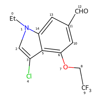 CCn1cc(Cl)c2c(OCC(F)(F)F)cc(C=O)cc21